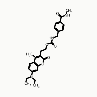 CCN(CC)c1ccc2c(C)c(CCOC(=O)NCc3ccc(C(=O)NC)cc3)c(=O)oc2c1